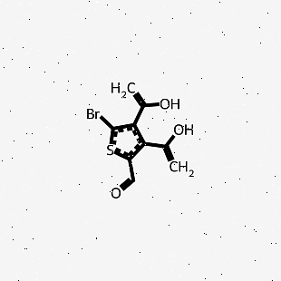 C=C(O)c1c(Br)sc(C=O)c1C(=C)O